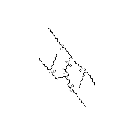 CCCCCCCCCCCOC(=O)CCCCCN(CCCCCCCC(=O)OC(CCCCCCCC)CCCCCCCC)CCNC(=O)CCC(=O)N(C)CCN(CCCCCCCC(=O)OC(CCCCCCCC)CCCCCCCC)CCCCCC(=O)OCCCCCCCCCCC